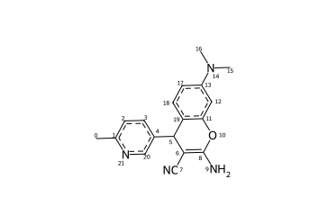 Cc1ccc(C2C(C#N)=C(N)Oc3cc(N(C)C)ccc32)cn1